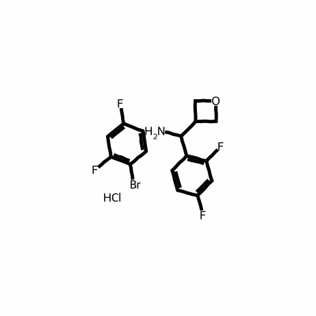 Cl.Fc1ccc(Br)c(F)c1.NC(c1ccc(F)cc1F)C1COC1